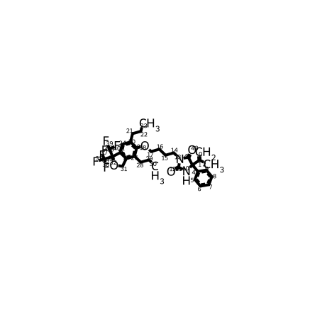 C=C(C)C1(c2ccccc2)NC(=O)N(CCCCOc2c(CCC)cc3c(c2CCC)COC3(C(F)(F)F)C(F)(F)F)C1=O